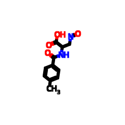 Cc1ccc(C(=O)NC(CN=O)C(=O)O)cc1